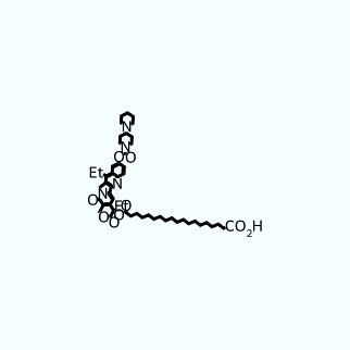 CCc1c2c(nc3ccc(OC(=O)N4CCC(N5CCCCC5)CC4)cc13)-c1cc3c(c(=O)n1C2)COC(=O)[C@@]3(CC)OC(=O)CCCCCCCCCCCCCCCCCC(=O)O